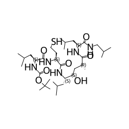 CC(C)CNC(=O)[C@H](CC(C)C)NC(=O)[C@H](C)C[C@H](O)[C@H](CC(C)C)NC(=O)[C@H](CCS)NC(=O)[C@H](CC(C)C)NC(=O)OC(C)(C)C